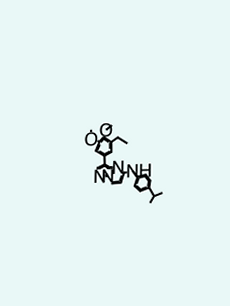 CCc1cc(-c2cnn3ccc(Nc4ccc(C(C)C)cc4)nc23)cc(OC)c1OC